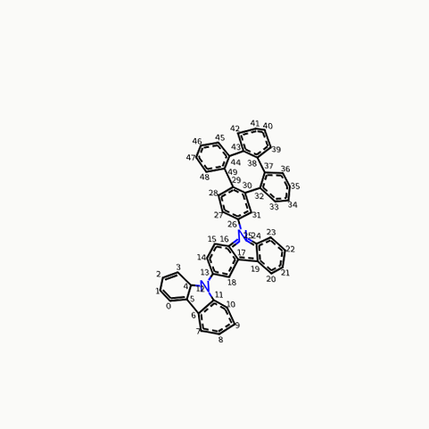 C1=CC=CC2C=1c1ccccc1N2c1ccc2c(c1)c1ccccc1n2-c1ccc2c(c1)-c1ccccc1-c1ccccc1-c1ccccc1-2